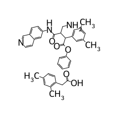 Cc1cc(C)cc(C(C(=O)Oc2ccccc2)C(CN)C(=O)Nc2ccc3cnccc3c2)c1.Cc1ccc(CC(=O)O)c(C)c1